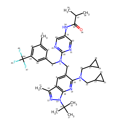 Cc1cc(CN(Cc2cc3c(C)nn(C(C)(C)C)c3nc2N(CC2CC2)CC2CC2)c2ncc(NC(=O)C(C)C)cn2)cc(C(F)(F)F)c1